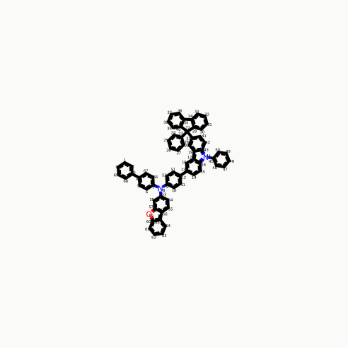 c1ccc(-c2ccc(N(c3ccc(-c4ccc5c(c4)c4cc(C6(c7ccccc7)c7ccccc7-c7ccccc76)ccc4n5-c4ccccc4)cc3)c3ccc4c(c3)oc3ccccc34)cc2)cc1